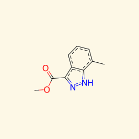 COC(=O)c1n[nH]c2c(C)cccc12